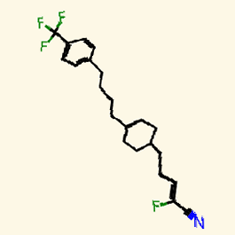 N#CC(F)=CCCC1CCC(CCCCc2ccc(C(F)(F)F)cc2)CC1